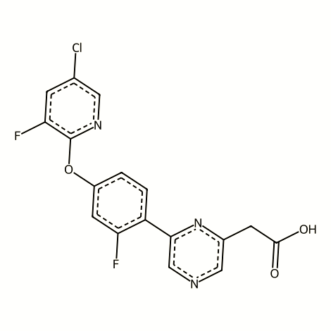 O=C(O)Cc1cncc(-c2ccc(Oc3ncc(Cl)cc3F)cc2F)n1